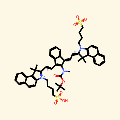 CN(C(=O)OC(C)(C)C)C1=C(/C=C/C2=[N+](CCCCS(=O)(=O)O)c3ccc4ccccc4c3C2(C)C)c2ccccc2/C1=C\C=C1\N(CCCCS(=O)(=O)[O-])c2ccc3ccccc3c2C1(C)C